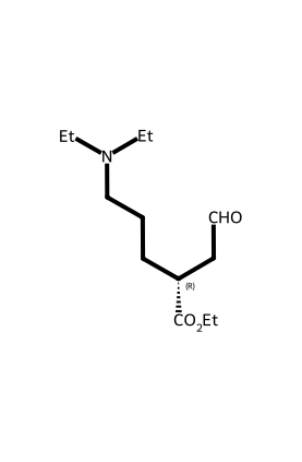 CCOC(=O)[C@@H](CC=O)CCCN(CC)CC